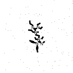 CC#CN(C#CC)C(=NC)[N+](CC)(CC)CC[N+](C)(CCC)C(=NCCC)N(CC)CC